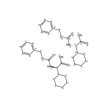 O=C(N[C@@H](C(=O)O)C1CCCCC1)OCc1ccccc1.O=C(N[C@H](C(=O)O)C1CCCCC1)OCc1ccccc1